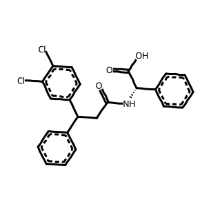 O=C(CC(c1ccccc1)c1ccc(Cl)c(Cl)c1)N[C@H](C(=O)O)c1ccccc1